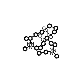 c1ccc(-c2ccc(-c3nc(-c4ccccc4)nc(-c4cccc5cc(-c6c7oc(-c8ccc9cccc(-c%10cccc(-c%11nc%12cc%13oc%14cc(-c%15cc(-c%16nc(-c%17ccccc%17)nc(-c%17ccc%18ccccc%18c%17)n%16)c%16ccccc%16c%15)ccc%14c%13cc%12o%11)c%10)c9c8)nc7cc7oc8ccccc8c67)ccc45)n3)cc2)cc1